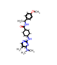 COc1ccc([C@H](C)NC(=O)C2CCC(Nc3ncc(C)c(N(C)C)n3)CC2)cc1